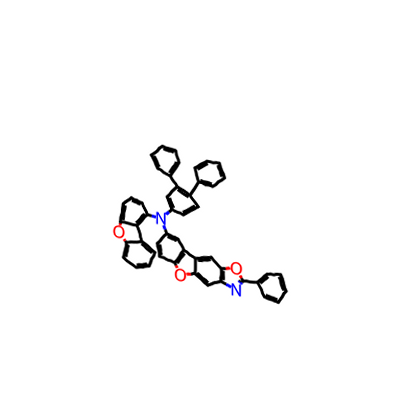 c1ccc(-c2nc3cc4oc5ccc(N(c6ccc(-c7ccccc7)c(-c7ccccc7)c6)c6cccc7oc8ccccc8c67)cc5c4cc3o2)cc1